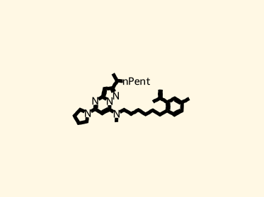 C=C(C)c1cc(C)ccc1CCCCCCN(C)c1cc(N2CCCC2)nc2cc(C(C)CCCCC)nn12